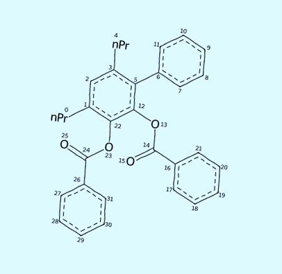 CCCc1cc(CCC)c(-c2ccccc2)c(OC(=O)c2ccccc2)c1OC(=O)c1ccccc1